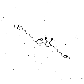 CCCCCCCCCC1COC(c2ccc(CCCCCCC)c(F)c2F)OC1